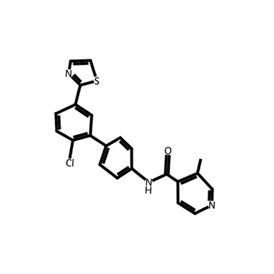 Cc1cnccc1C(=O)Nc1ccc(-c2cc(-c3nccs3)ccc2Cl)cc1